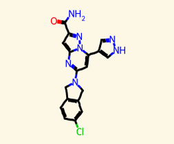 NC(=O)c1cc2nc(N3Cc4ccc(Cl)cc4C3)cc(-c3cn[nH]c3)n2n1